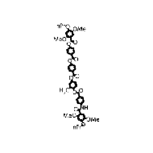 CCCOc1cc(OC)c(C(=O)Nc2ccc(C(=O)Oc3ccc(OC(=O)c4ccc(OC(=O)c5ccc(OC(=O)c6cc(OC)c(OCCC)cc6OC)cc5)cc4)cc3C)cc2)cc1OC